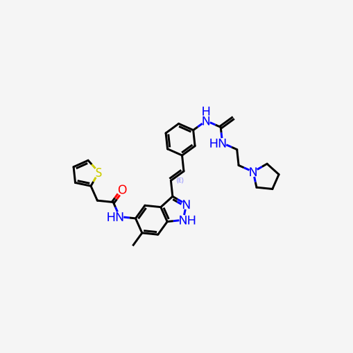 C=C(NCCN1CCCC1)Nc1cccc(/C=C/c2n[nH]c3cc(C)c(NC(=O)Cc4cccs4)cc23)c1